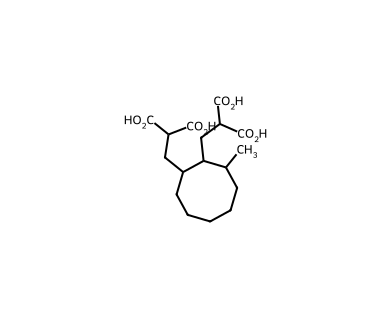 CC1CCCCCC(CC(C(=O)O)C(=O)O)C1CC(C(=O)O)C(=O)O